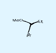 [CH2]CC(OC)C(C)C